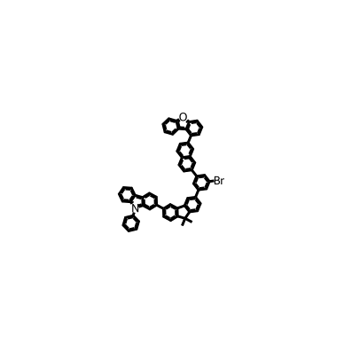 CC1(C)c2ccc(-c3cc(Br)cc(-c4ccc5ccc(-c6cccc7oc8ccccc8c67)cc5c4)c3)cc2-c2cc(-c3ccc4c5ccccc5n(-c5ccccc5)c4c3)ccc21